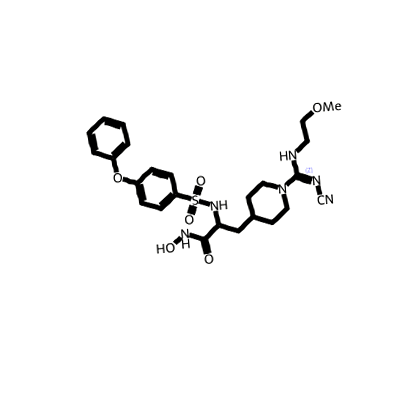 COCCN/C(=N/C#N)N1CCC(CC(NS(=O)(=O)c2ccc(Oc3ccccc3)cc2)C(=O)NO)CC1